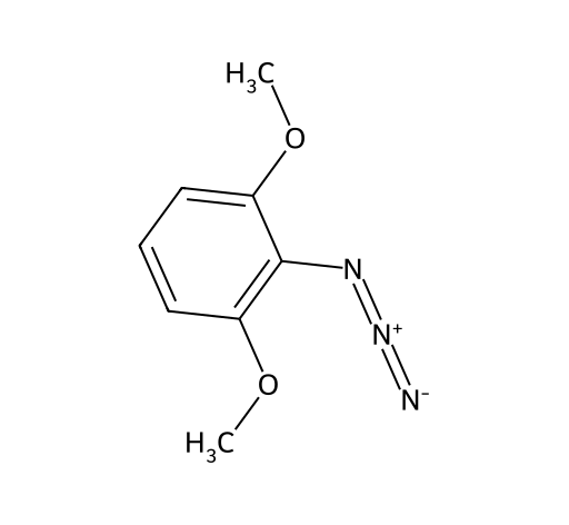 COc1cccc(OC)c1N=[N+]=[N-]